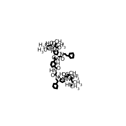 CN[C@@H](C)C(=O)N[C@H](C(=O)N1CCC[C@H]1CN(CCc1ccccc1)C(=O)CNC(=O)c1cccc(C(=O)NCC(=O)N(CCc2ccccc2)C[C@@H]2CCCN2C(=O)[C@@H](NC(=O)[C@H](C)NC)C(C)(C)C)c1)C(C)(C)C